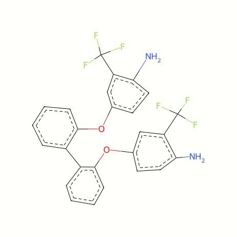 Nc1ccc(Oc2ccccc2-c2ccccc2Oc2ccc(N)c(C(F)(F)F)c2)cc1C(F)(F)F